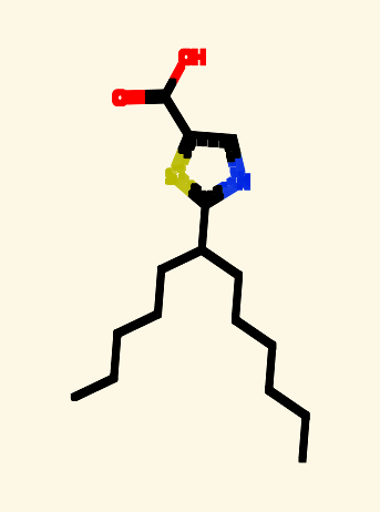 CCCCCCC(CCCCC)c1ncc(C(=O)O)s1